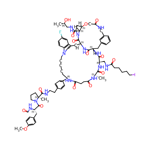 COc1ccc(C[C@H](NC=O)C(=O)N2CCC[C@@]2(C)C(=O)NCCc2ccc([C@H]3CCCCCn4cc(c5cc(F)ccc54)C[C@@H]4NC(=O)[C@H](Cc5cccc(c5)CNC(=O)CO[C@H]5CCN(C4=O)[C@@H]5C(=O)NC[C@@H](C)O)NC(=O)[C@@H](CNC(=O)CCCCCI)NC(=O)[C@H](C)NC(=O)CCC(=O)N3)cc2)cc1